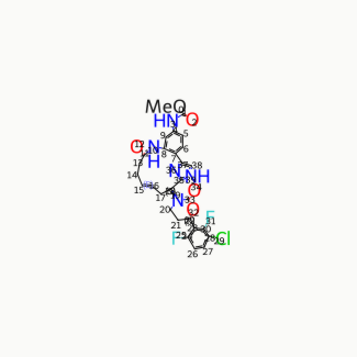 COC(=O)Nc1ccc2c(c1)NC(=O)CC/C=C/C[C@H](N1CC[C@H](c3c(F)ccc(Cl)c3F)OC1=O)c1nc-2c[nH]1